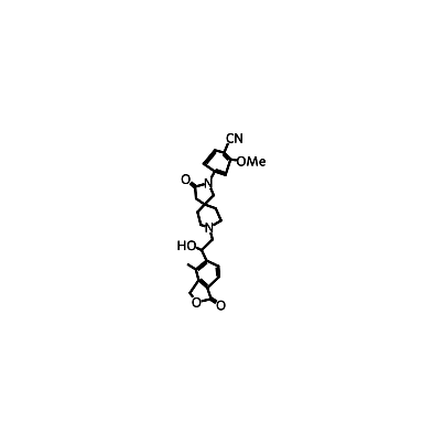 COc1cc(N2CC3(CCN(CC(O)c4ccc5c(c4C)COC5=O)CC3)CC2=O)ccc1C#N